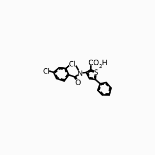 CN(C(=O)c1ccc(Cl)cc1Cl)c1cc(-c2ccccc2)sc1C(=O)O